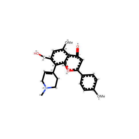 COc1ccc(-c2cc(=O)c3c(OC)cc(CO)c(C4=CCN(C)CC4)c3o2)cc1